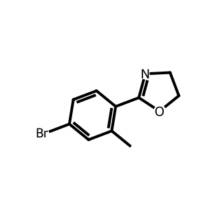 Cc1cc(Br)ccc1C1=NCCO1